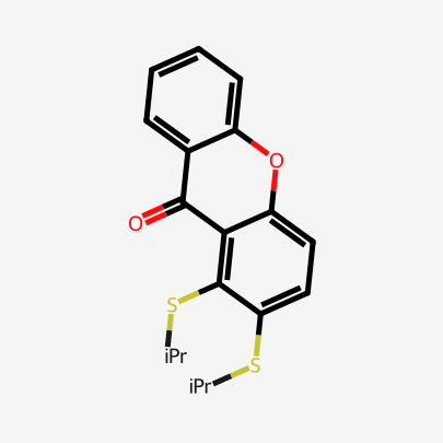 CC(C)Sc1ccc2oc3ccccc3c(=O)c2c1SC(C)C